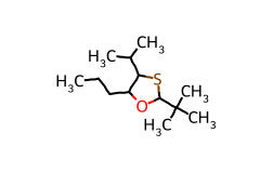 CCCC1OC(C(C)(C)C)SC1C(C)C